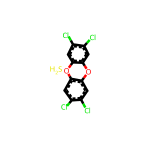 Clc1cc2c(cc1Cl)Oc1cc(Cl)c(Cl)cc1O2.S